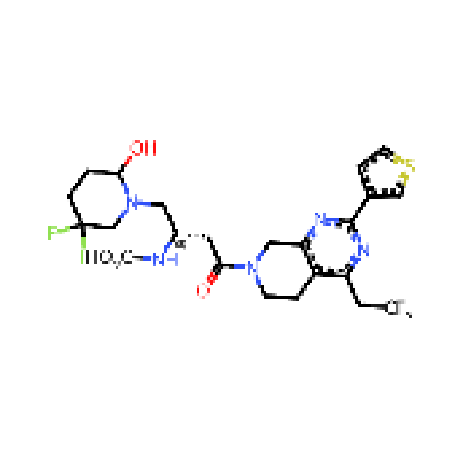 O=C(O)N[C@@H](CC(=O)N1CCc2c(nc(-c3ccsc3)nc2CC(F)(F)F)C1)CN1CC(F)(F)CCC1O